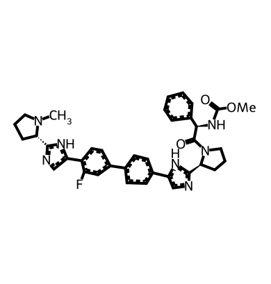 COC(=O)N[C@@H](C(=O)N1CCC[C@H]1c1ncc(-c2ccc(-c3ccc(-c4cnc([C@@H]5CCCN5C)[nH]4)c(F)c3)cc2)[nH]1)c1ccccc1